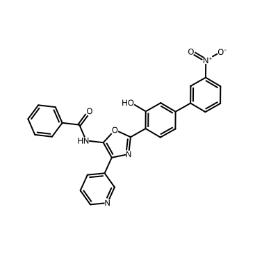 O=C(Nc1oc(-c2ccc(-c3cccc([N+](=O)[O-])c3)cc2O)nc1-c1cccnc1)c1ccccc1